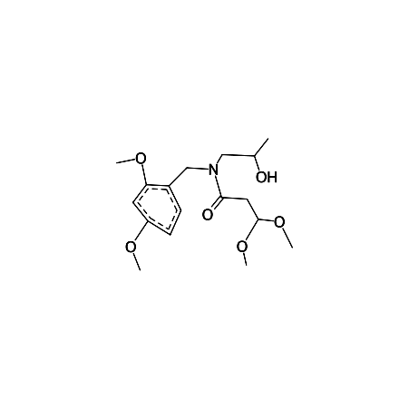 COc1ccc(CN(CC(C)O)C(=O)CC(OC)OC)c(OC)c1